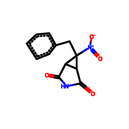 O=C1NC(=O)C2C1C2(Cc1ccccc1)[N+](=O)[O-]